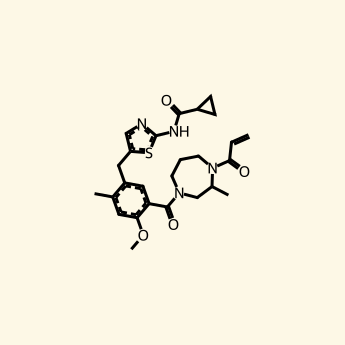 C=CC(=O)N1CCCN(C(=O)c2cc(Cc3cnc(NC(=O)C4CC4)s3)c(C)cc2OC)CC1C